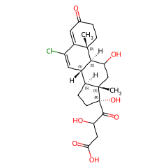 C[C@]12CCC(=O)C=C1C(Cl)=C[C@@H]1[C@@H]2C(O)C[C@@]2(C)[C@H]1CC[C@]2(O)C(=O)C(O)CC(=O)O